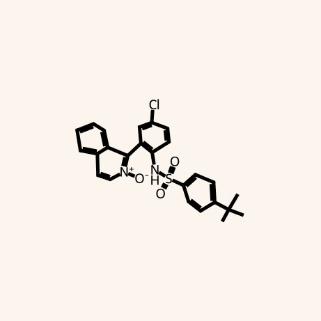 CC(C)(C)c1ccc(S(=O)(=O)Nc2ccc(Cl)cc2-c2c3ccccc3cc[n+]2[O-])cc1